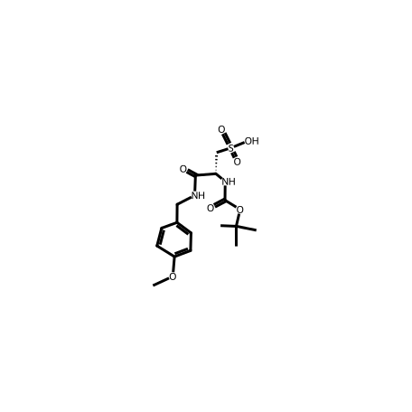 COc1ccc(CNC(=O)[C@H](CS(=O)(=O)O)NC(=O)OC(C)(C)C)cc1